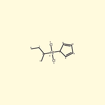 CC[CH](C)[Hf]([Cl])([Cl])[CH]1C=CC=C1